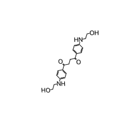 O=C(CCC(=O)c1ccc(NCCO)cc1)c1ccc(NCCO)cc1